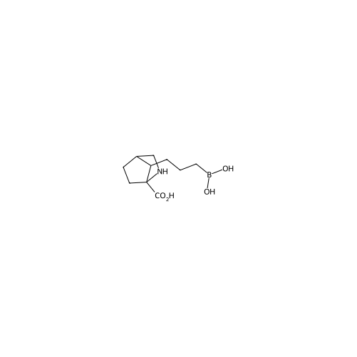 O=C(O)C12CCC(CN1)C2CCCB(O)O